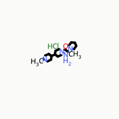 CN1CCC(C2CCN(C(=O)[C@@](C)(N)N3CCCCC3)CC2)CC1.Cl